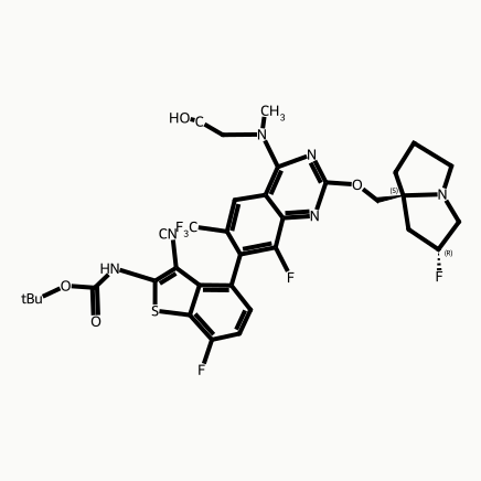 CN(CCO)c1nc(OC[C@@]23CCCN2C[C@H](F)C3)nc2c(F)c(-c3ccc(F)c4sc(NC(=O)OC(C)(C)C)c(C#N)c34)c(C(F)(F)F)cc12